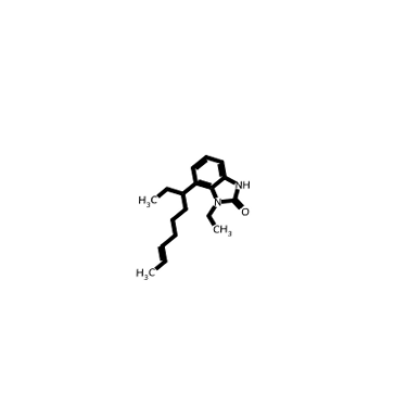 CC=CCCCC(CC)c1cccc2[nH]c(=O)n(CC)c12